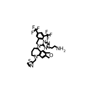 NCCn1nnc(N(Cc2cc(C(F)(F)F)cc(C(F)(F)F)c2)[C@H]2CCCN(Cc3nccs3)c3cc4c(cc32)COC4)n1